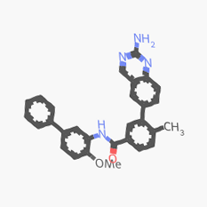 COc1ccc(-c2ccccc2)cc1NC(=O)c1ccc(C)c(-c2ccc3nc(N)ncc3c2)c1